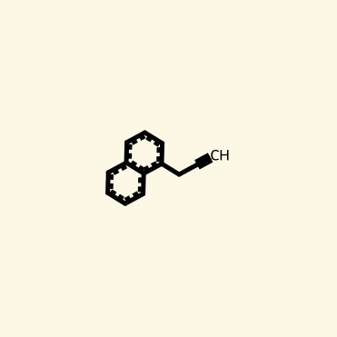 C#CCc1cccc2ccccc12